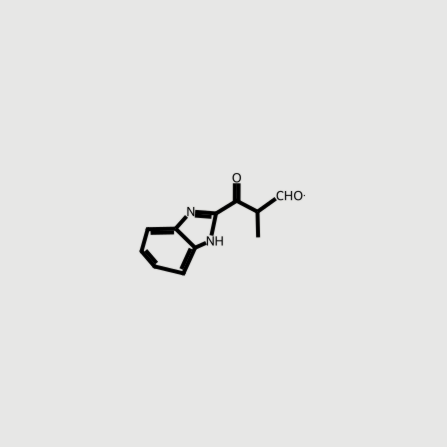 CC([C]=O)C(=O)c1nc2ccccc2[nH]1